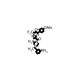 C=C(c1cccc(N)c1)N1CCN(C(=O)c2cnn3c(C(F)(F)F)c(C)c(-c4ccc(OC)cc4)nc23)[C@H](C)C1